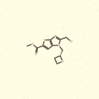 COC(=O)c1cc2c(nc(CCl)n2C[C@@H]2CCO2)s1